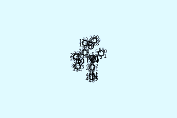 c1ccc(-c2cc(-c3cc(-c4cccc5c4oc4ccccc45)cc(-c4cccc5c4oc4ccccc45)c3)nc(-c3ccc(-c4ccccn4)cc3)n2)cc1